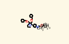 CN(CCO[Si](C)(C)C(C)(C)C)c1ccc(-c2c(COCc3ccccc3)c(COCc3ccccc3)c3n2CCC3)cc1